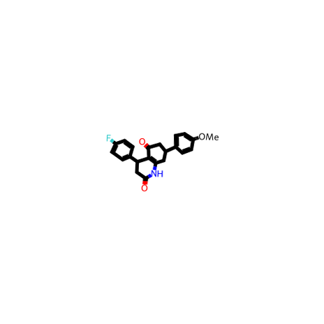 COc1ccc(C2CC(=O)C3=C(C2)NC(=O)CC3c2ccc(F)cc2)cc1